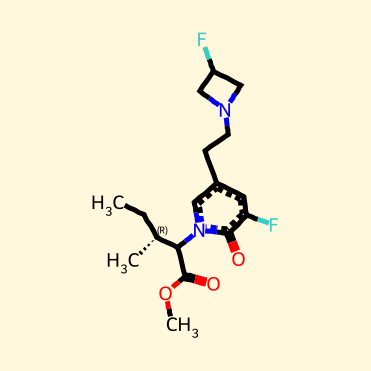 CC[C@@H](C)C(C(=O)OC)n1cc(CCN2CC(F)C2)cc(F)c1=O